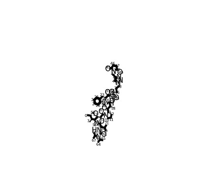 CC[C@H](C)[C@@H]([C@H](CC(=O)N1CCC[C@H]1[C@H](OC)[C@@H](C)C(=O)N[C@@H](Cc1ccccc1)C(=O)NS(=O)(=O)CCCn1cc(CN2C(=O)C=CC2=O)nn1)OC)N(C)C(=O)[C@@H](NC(=O)N(C(C)C)C(C)C)C(C)C